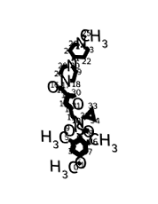 COc1cc(C)c(S(=O)(=O)N(Cc2cc(C(=O)N3CCN(C4CCN(C)CC4)CC3)co2)C2CC2)c(C)c1